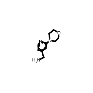 NCc1ccnc(N2CCOCC2)c1